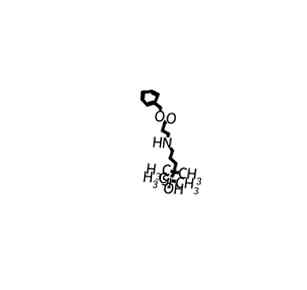 CC(C)(CCCNCCC(=O)OCc1ccccc1)[Si](C)(C)O